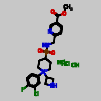 COC(=O)c1ccc(CNS(=O)(=O)C2CC[N+](c3ccc(F)c(Cl)c3)(C3CNC3)CC2)nc1.Cl.Cl.Cl